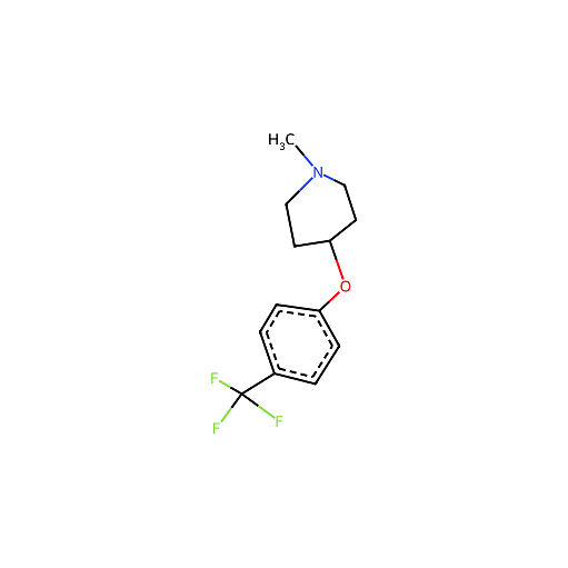 CN1CCC(Oc2ccc(C(F)(F)F)cc2)CC1